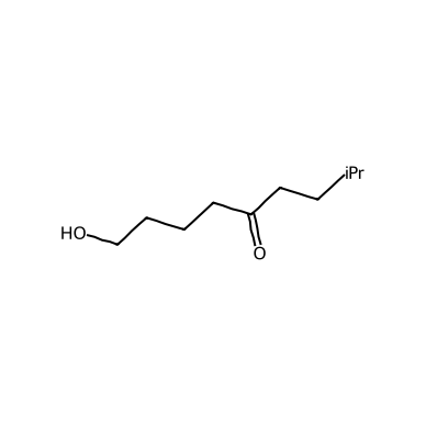 CC(C)CCC(=O)CCCCO